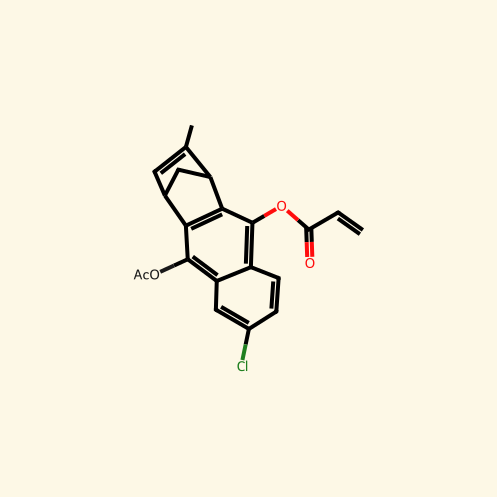 C=CC(=O)Oc1c2c(c(OC(C)=O)c3cc(Cl)ccc13)C1C=C(C)C2C1